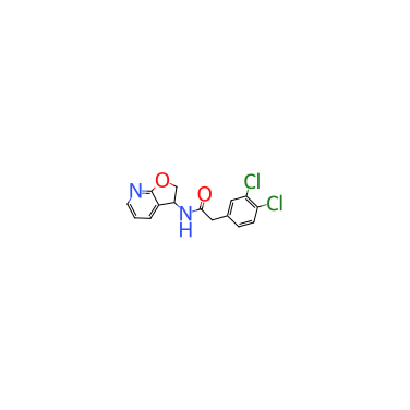 O=C(Cc1ccc(Cl)c(Cl)c1)NC1COc2ncccc21